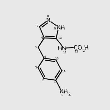 Nc1ccc(Cc2cn[nH]c2NC(=O)O)cc1